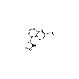 Cc1ccc2c(C3BOOC3)cccc2n1